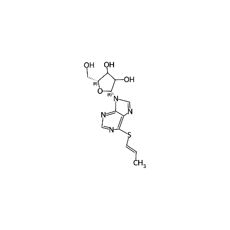 CC=CSc1ncnc2c1ncn2[C@@H]1O[C@H](CO)C(O)C1O